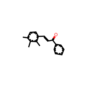 Cc1ccc(C=CC(=O)c2ccccc2)c(C)c1C